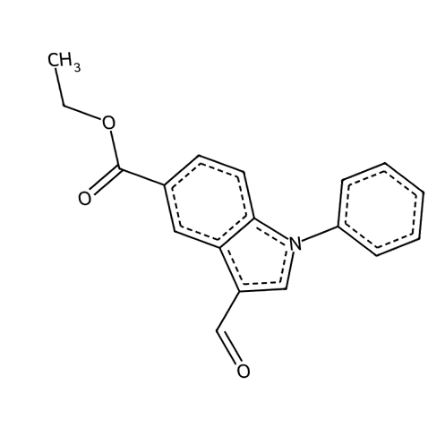 CCOC(=O)c1ccc2c(c1)c(C=O)cn2-c1ccccc1